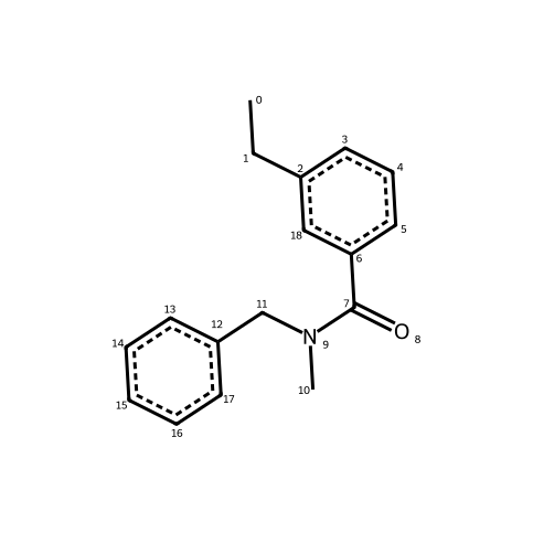 CCc1cccc(C(=O)N(C)Cc2ccccc2)c1